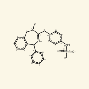 CN1Cc2ccccc2C(c2ccccc2)N=C1Cc1ccc(NS(C)(=O)=O)cc1